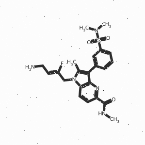 CNC(=O)c1ccc2c(n1)c(-c1cccc(S(=O)(=O)N(C)C)c1)c(C)n2C/C(F)=C/CN